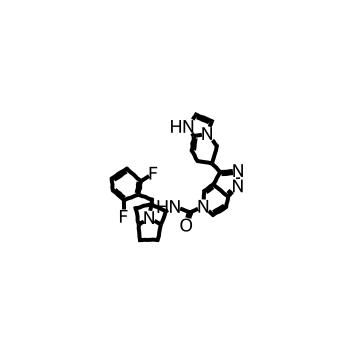 O=C(NC1CCC2CCC1N2Cc1c(F)cccc1F)n1ccc2nnc(C3CC=C4NC=CN4C3)c-2c1